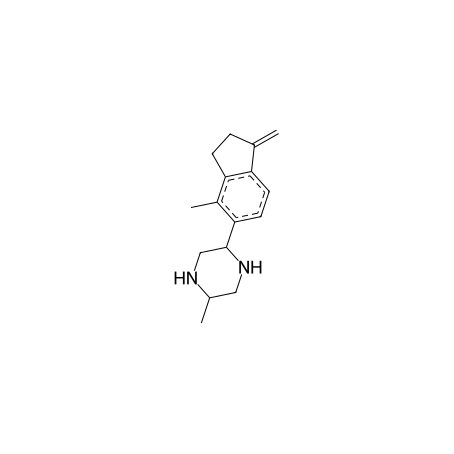 C=C1CCc2c1ccc(C1CNC(C)CN1)c2C